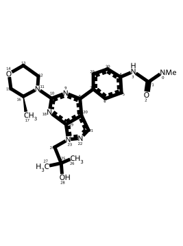 CNC(=O)Nc1ccc(-c2nc(N3CCOC[C@@H]3C)nc3c2cnn3CC(C)(C)O)cc1